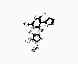 Nc1nc(Cl)c(-c2cccs2)c(N[C@@H]2C[C@H](CO)[C@@H](O)[C@H]2O)n1